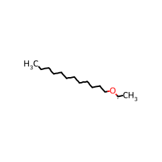 C[CH]OCCCCCCCCCCCC